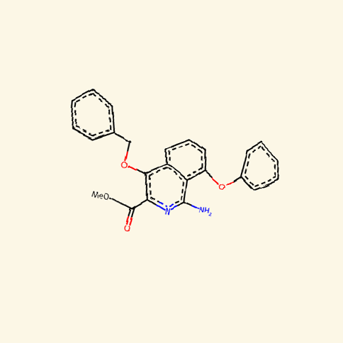 COC(=O)c1nc(N)c2c(Oc3ccccc3)cccc2c1OCc1ccccc1